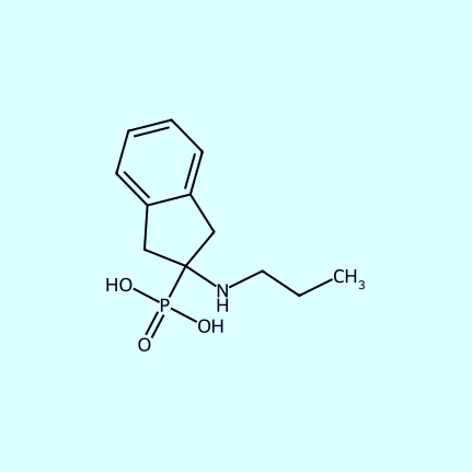 CCCNC1(P(=O)(O)O)Cc2ccccc2C1